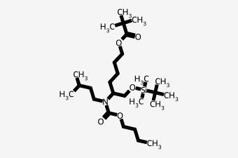 CCCCOC(=O)N(CCC(C)C)C(CCCCOC(=O)C(C)(C)C)CO[Si](C)(C)C(C)(C)C